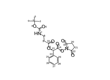 CC(C)(C)OC(=O)NCCC(=O)O[C@@H](C(=O)ON1C(=O)CCC1=O)c1ccccc1